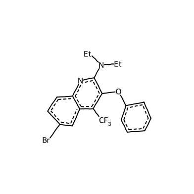 CCN(CC)c1nc2ccc(Br)cc2c(C(F)(F)F)c1Oc1ccccc1